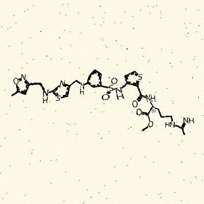 COC(=O)[C@H](CCCNC(C)=N)NC(=O)c1sccc1NS(=O)(=O)c1cccc(NCc2csc(NCc3cc(C)on3)n2)c1